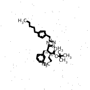 CCCCCc1ccc(Cn2nnc([C@@H](Cc3cccc(Br)c3)[C@H](CCC)C(=O)OC(C)(C)C)n2)cc1